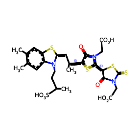 C/C(C=C1Sc2cc(C)c(C)cc2N1CCC(C)S(=O)(=O)O)=c1\s/c(=C2/SC(=S)N(CC(=O)O)C2=O)n(CC(=O)O)c1=O